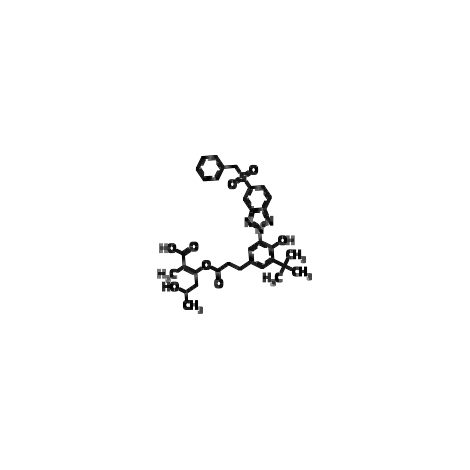 CC(C(=O)O)=C(CC(C)O)OC(=O)CCc1cc(-n2nc3ccc(S(=O)(=O)Cc4ccccc4)cc3n2)c(O)c(C(C)(C)C)c1